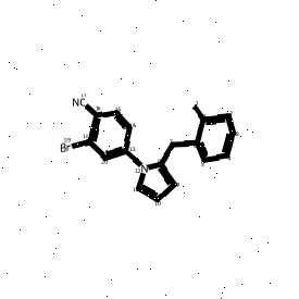 Cc1ccccc1Cc1cccn1-c1ccc(C#N)c(Br)c1